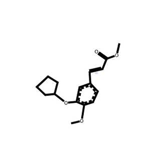 COC(=O)/C=C/c1ccc(OC)c(OC2CCCC2)c1